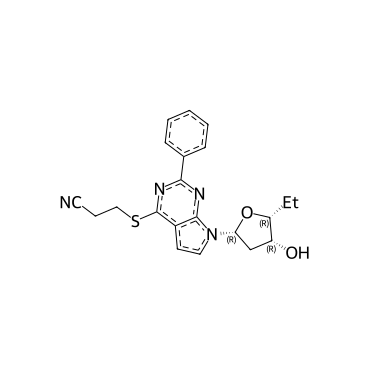 CC[C@H]1O[C@@H](n2ccc3c(SCCC#N)nc(-c4ccccc4)nc32)C[C@H]1O